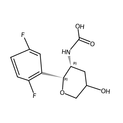 O=C(O)N[C@@H]1CC(O)CO[C@@H]1c1cc(F)ccc1F